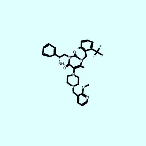 COc1ncccc1CN1CCN(c2c(C)n(Cc3c(F)cccc3C(F)(F)F)c(=O)n(C[C@H](N)c3ccccc3)c2=O)CC1